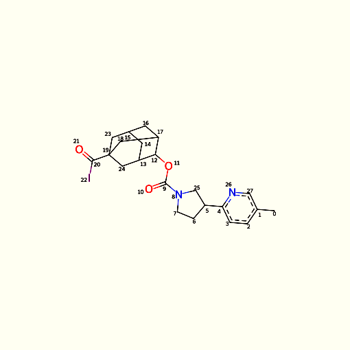 Cc1ccc(C2CCN(C(=O)OC3C4CC5CC3CC(C(=O)I)(C5)C4)C2)nc1